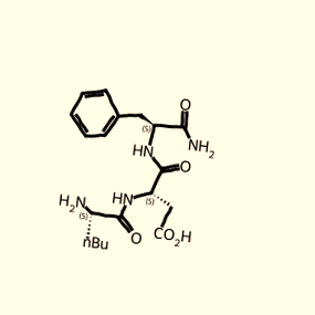 CCCC[C@H](N)C(=O)N[C@@H](CC(=O)O)C(=O)N[C@@H](Cc1ccccc1)C(N)=O